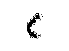 CC(CC1CCC(C)N1C(=O)c1ccc(N2CCN(CC3CCN(c4ccc5c(c4)C(=O)N(C4CCC(=O)NC4=O)C5=O)CC3)CC2)cc1)Oc1cnc(C#N)c(Cl)c1